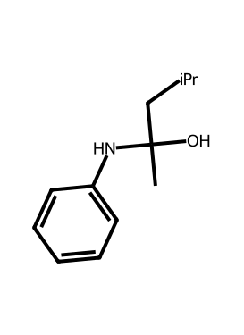 CC(C)CC(C)(O)Nc1ccccc1